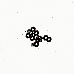 N#Cc1ccccc1-c1cccc2c1-c1c(-c3cc(-c4ccc5ccccc5c4)nc(-c4ccccc4)n3)cccc1C21c2ccccc2Oc2ccccc21